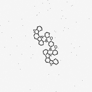 c1cc2c3c(c1)-n1c4c(cccc4c4ccc5sc6ccccc6c5c41)B3c1cc3c(cc1O2)Oc1cccc2c1B3c1cccc3c4ccc5sc6ccccc6c5c4n-2c13